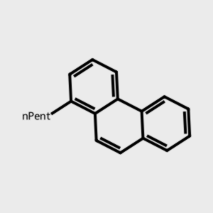 CCCCCc1cccc2c1ccc1ccccc12